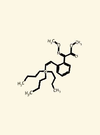 CCC[CH2][Sn](/[CH]=C\c1ccccc1C(=NOC)C(=O)OC)([CH2]CCC)[CH2]CCC